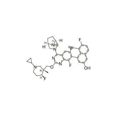 C#Cc1c(F)ccc2cc(O)cc(-c3c(F)cc4c(N5C[C@H]6CC[C@@H](C5)N6)nc(OC[C@@]5(C)CN(C6CC6)CC[C@@H]5F)nc4c3F)c12